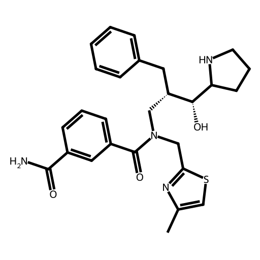 Cc1csc(CN(C[C@H](Cc2ccccc2)[C@@H](O)C2CCCN2)C(=O)c2cccc(C(N)=O)c2)n1